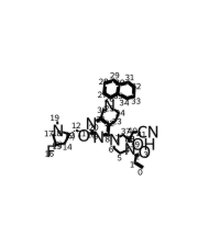 C=CC(=O)N1CCN(c2nc(OC[C@@H]3C[C@@H](F)CN3C)nc3c2CCN(c2cccc4ccccc24)C3)C[C@@]1(O)CC#N